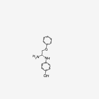 NC(COc1ccccc1)Nc1ccc(O)cc1